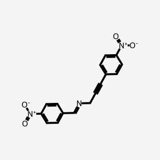 O=[N+]([O-])c1ccc(C#CCN=Cc2ccc([N+](=O)[O-])cc2)cc1